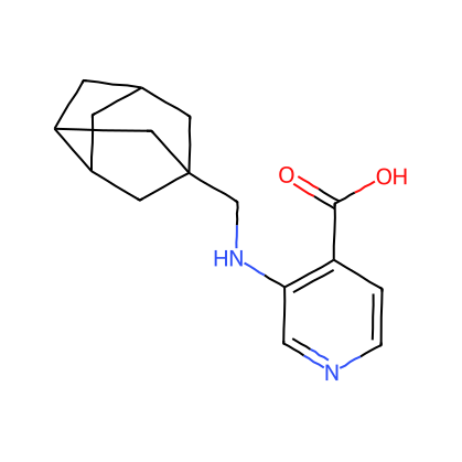 O=C(O)c1ccncc1NCC12CC3CC(C1)C(C3)C2